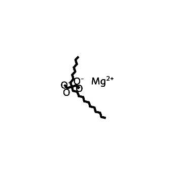 CCCCCCCCCCCCC(CCCCCCCC)(C(=O)[O-])C(=O)[O-].[Mg+2]